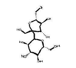 OC[C@H]1OC(CO)([C]2O[C@H](CO)[C@@H](O)[C@H](O)[C@H]2O)[C@@H](O)[C@@H]1O